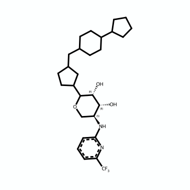 O[C@@H]1[C@@H](Nc2cccc(C(F)(F)F)n2)COC(C2CCC(CC3CCC(C4CCCC4)CC3)C2)[C@@H]1O